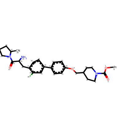 CC(C)OC(=O)N1CCC(COc2ccc(-c3ccc(CC(N)C(=O)N4CCCC4C#N)c(F)c3)cc2)CC1